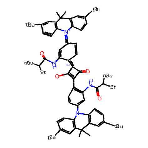 CCCCC(CC)C(=O)NC1=CC(=[N+]2c3ccc(C(C)(C)C)cc3C(C)(C)c3cc(C(C)(C)C)ccc32)C=C/C1=C1\C(=O)C(c2ccc(N3c4ccc(C(C)(C)C)cc4C(C)(C)c4cc(C(C)(C)C)ccc43)cc2NC(=O)C(CC)CCCC)=C1[O-]